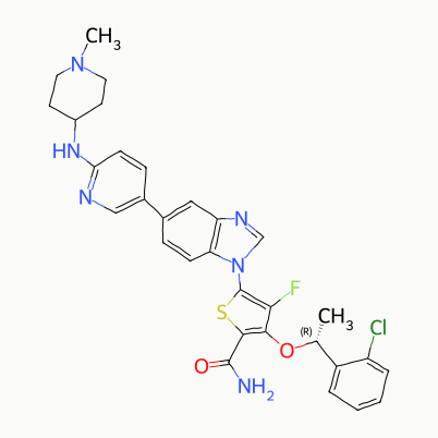 C[C@@H](Oc1c(C(N)=O)sc(-n2cnc3cc(-c4ccc(NC5CCN(C)CC5)nc4)ccc32)c1F)c1ccccc1Cl